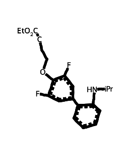 CCOC(=O)CCCOc1c(F)cc(-c2ccccc2NC(C)C)cc1F